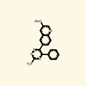 COc1cnc2ccc(-c3nnc(N)nc3-c3ccccc3)cc2c1